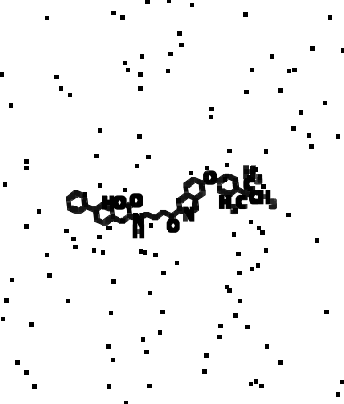 CC(C)(C)c1ccc(Oc2ccc3cc(C(=O)CCCN[C@@H](Cc4ccc(-c5ccccc5)cc4)C(=O)O)ncc3c2)cc1